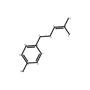 CC(C)=CCCc1ccc(C)cc1